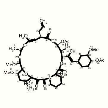 C=CC[C@@H]1/C=C(\C)C[C@H](C)C[C@H](OC)[C@H]2O[C@@](O)(C(=O)C(=O)N3CCCC[C@H]3C(=O)O[C@H](/C(C)=C/[C@@H]3CC[C@@H](OC(C)=O)[C@H](OC)C3)[C@H](C)[C@@H](OC(C)=O)CC1=O)[C@H](C)C[C@@H]2OC